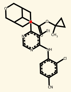 CCc1c(Nc2ccc(C#N)cc2Cl)ncnc1OC1C2COCC1CN(C(=O)OC1(C)CC1)C2